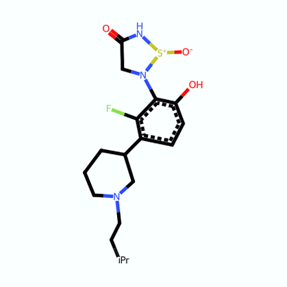 CC(C)CCN1CCCC(c2ccc(O)c(N3CC(=O)N[S+]3[O-])c2F)C1